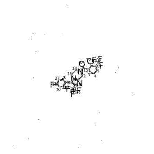 O=C(c1cccc(C(F)(F)F)c1Cl)N1CCn2c(nc(C(F)(F)F)c2-c2ccc(F)cc2)C1